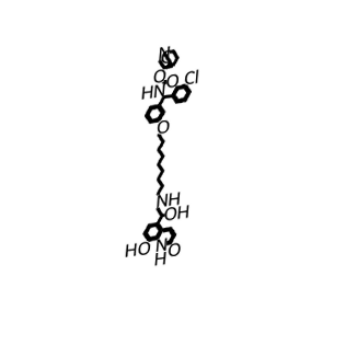 O=C(NC(c1cccc(Cl)c1)c1cccc(OCCCCCCCCCNCC(O)c2ccc(O)c3[nH]c(=O)ccc23)c1)OC1CN2CCC1CC2